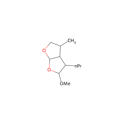 CCCC1C(OC)OC2OCC(C)C21